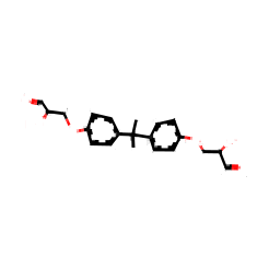 CC(C)(c1ccc(OCC(O)C=O)cc1)c1ccc(OCC(O)C=O)cc1